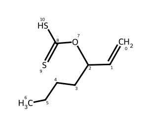 C=CC(CCCC)OC(=S)S